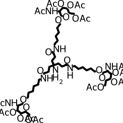 CC(=O)NC1C(OCCCCCCNC(=O)CCC(N)(CCC(=O)NCCCCCCOC2OC(COC(C)=O)C(OC(C)=O)C(OC(C)=O)C2NC(C)=O)CCC(=O)NCCCCCCOC2OC(COC(C)=O)C(OC(C)=O)C(OC(C)=O)C2NC(C)=O)OC(COC(C)=O)C(OC(C)=O)C1OC(C)=O